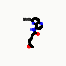 COc1ccc2nccc(NC(=O)CCCC3CO3)c2n1